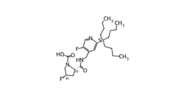 CCC[CH2][Sn]([CH2]CCC)([CH2]CCC)[c]1cc(CNC(=O)[C@@H]2C[C@@H](F)CN2C(=O)O)c(F)cn1